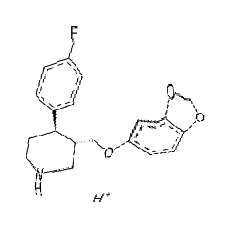 Fc1ccc([C@@H]2CCNC[C@H]2COc2ccc3c(c2)OCO3)cc1.[H+]